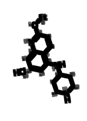 CCOc1ccc2c(NC3CCNCC3)cccc2n1.Cl